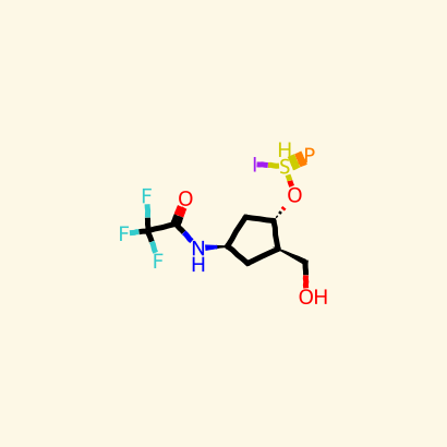 O=C(N[C@@H]1C[C@H](CO)[C@@H](O[SH](#P)I)C1)C(F)(F)F